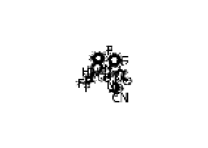 N#Cc1cnc(N2C(=O)CC[C@H]2C(=O)N(c2cc(F)cc(F)c2)[C@H](C(=O)NC2CC(F)(F)C2)c2ccccc2I)o1